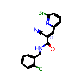 N#C/C(=C\c1cccc(Br)n1)C(=O)NCc1ccccc1Cl